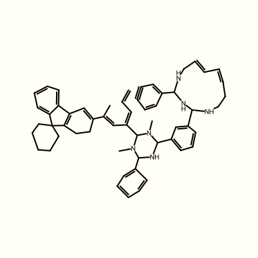 C=C/C=C(\C=C(/C)C1=CC2=C(CC1)C1(CCCCC1)c1ccccc12)C1N(C)C(c2ccccc2)NC(c2cccc(C3NCC/C=C\C=C\CNC(c4cc#ccc4)N3)c2)N1C